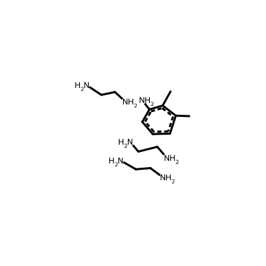 Cc1cccc(N)c1C.NCCN.NCCN.NCCN